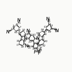 N#Cc1cc(C#N)cc(-c2ccc3c(c2)c2ccccc2n3-c2cc(-c3ccc(C(F)(F)F)cc3C#N)c(-n3c4ccccc4c4cc(-c5cc(C#N)cc(C#N)c5)ccc43)cc2C#N)c1